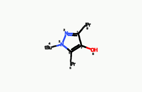 CC(C)c1nn(C(C)(C)C)c(C(C)C)c1O